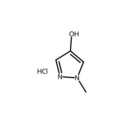 Cl.Cn1cc(O)cn1